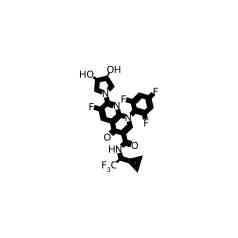 O=C(N[C@@H](C1CC1)C(F)(F)F)c1cn(-c2c(F)cc(F)cc2F)c2nc(N3C[C@@H](O)[C@H](O)C3)c(F)cc2c1=O